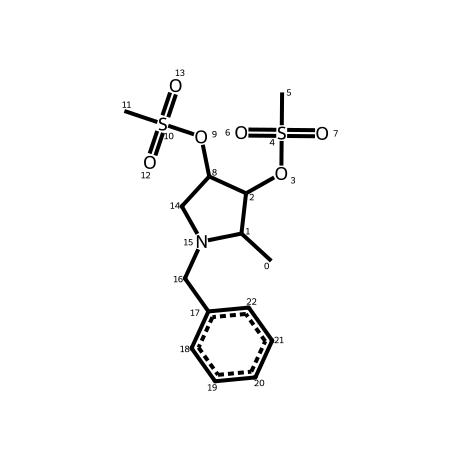 CC1C(OS(C)(=O)=O)C(OS(C)(=O)=O)CN1Cc1ccccc1